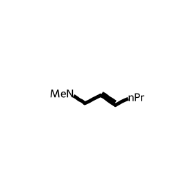 CCC/C=C/CNC